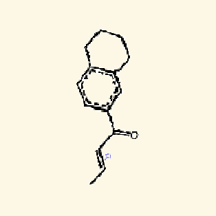 C/C=C/C(=O)c1ccc2c(c1)CCCC2